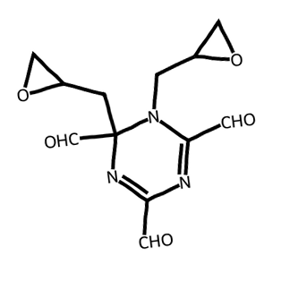 O=CC1=NC(C=O)(CC2CO2)N(CC2CO2)C(C=O)=N1